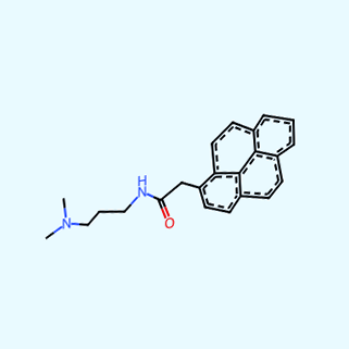 CN(C)CCCNC(=O)Cc1ccc2ccc3cccc4ccc1c2c34